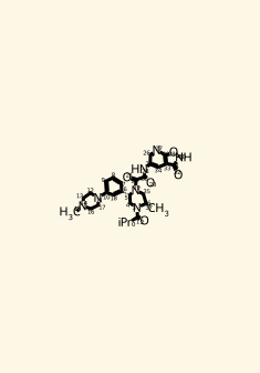 CC(C)C(=O)N1C[C@H](c2cccc(N3CCN(C)CC3)c2)N(C(=O)C(=O)Nc2cnc3o[nH]c(=O)c3c2)C[C@H]1C